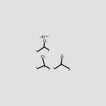 CC(C)[O-].CC(C)[O-].CC(C)[O-].[Er+3]